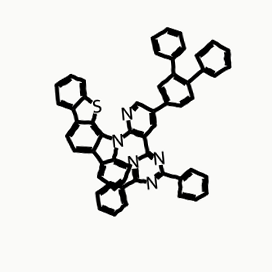 c1ccc(-c2nc(-c3ccccc3)nc(-c3cc(-c4ccc(-c5ccccc5)c(-c5ccccc5)c4)cnc3-n3c4ccccc4c4ccc5c6ccccc6sc5c43)n2)cc1